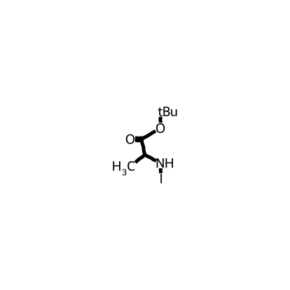 CC(NI)C(=O)OC(C)(C)C